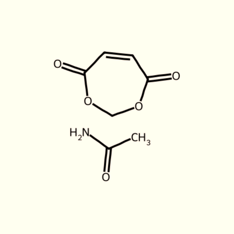 CC(N)=O.O=C1C=CC(=O)OCO1